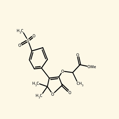 COC(=O)C(C)OC1=C(c2ccc(S(C)(=O)=O)cc2)C(C)(C)OC1=O